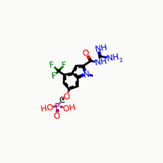 Cn1c(C(=O)NC(=N)N)cc2c(C(F)(F)F)cc(OCP(=O)(O)O)cc21